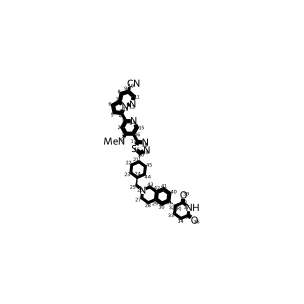 CNc1cc(-c2ccc3cc(C#N)cnn23)ncc1-c1nnc([C@H]2CC[C@H](CN3CCc4cc([C@H]5CCC(=O)NC5=O)ccc4C3)CC2)s1